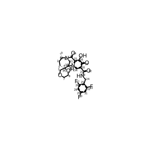 C[C@H]1CC[C@]2(COCCO2)[C@H]2CN1C(=O)c1c(O)c(=O)c(C(=O)NCc3c(F)cc(F)cc3F)cn12